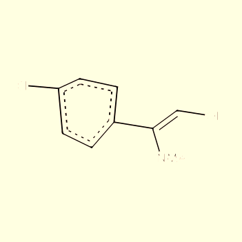 CN/C(=C\O)c1ccc(Cl)cc1